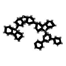 c1ccc(-c2nc(-c3ccccc3)nc(-n3c4ccccc4c4cc(-c5ccc6oc7ccc(-n8c9ccccc9c9ccccc98)cc7c6c5)ccc43)n2)cc1